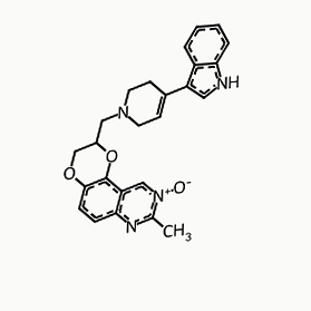 Cc1nc2ccc3c(c2c[n+]1[O-])OC(CN1CC=C(c2c[nH]c4ccccc24)CC1)CO3